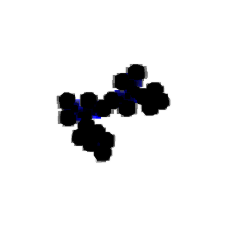 C1=CC2N=C3N(c4nc(-c5ccc([Si](c6ccccc6)(c6ccccc6)c6cccc(-n7c8ccccc8c8ccccc87)c6)cc5)cc(-n5c6ccccc6n6c7cc(-c8ccc9nc%10n(-c%11nc(-c%12ccc([Si](c%13ccccc%13)(c%13ccccc%13)c%13ccccc%13)cc%12)cc(-n%12c%13ccccc%13n%13c%14ccccc%14nc%12%13)n%11)c%11ccccc%11n%10c9c8)ccc7nc56)n4)c4ccccc4N3C2C=C1